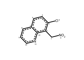 O=[N+]([O-])Cc1c(Cl)ccc2cccnc12